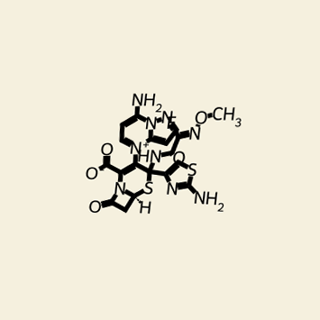 CON=C(F)C(=O)NC1(c2csc(N)n2)S[C@H]2CC(=O)N2C(C(=O)[O-])=C1[n+]1ccc(N)n2nccc21